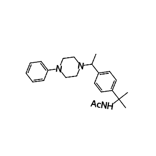 CC(=O)NC(C)(C)c1ccc(C(C)N2CCN(c3ccccc3)CC2)cc1